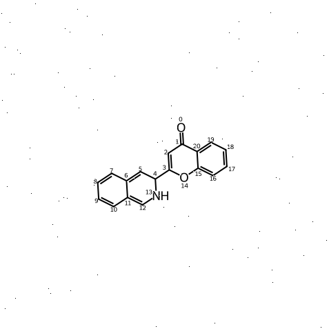 O=c1cc(C2C=c3ccccc3=CN2)oc2ccccc12